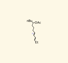 CCC=C/C=C/CCCC(CCCC)OC(C)=O